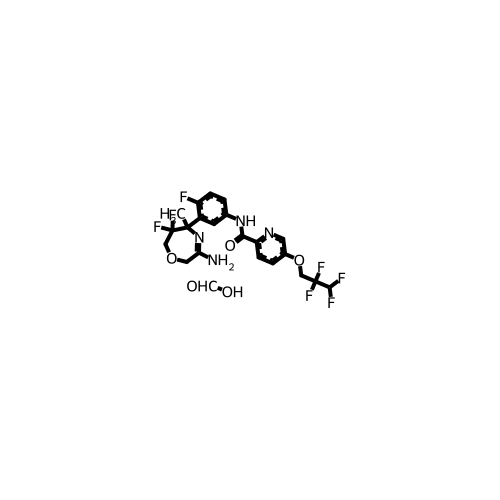 CC1(c2cc(NC(=O)c3ccc(OCC(F)(F)C(F)F)cn3)ccc2F)N=C(N)COCC1(F)F.O=CO